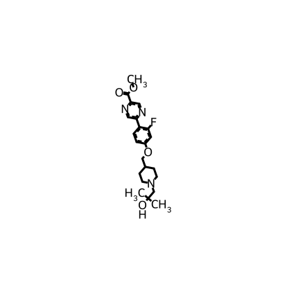 COC(=O)c1cnc(-c2ccc(OCC3CCN(CC(C)(C)O)CC3)cc2F)cn1